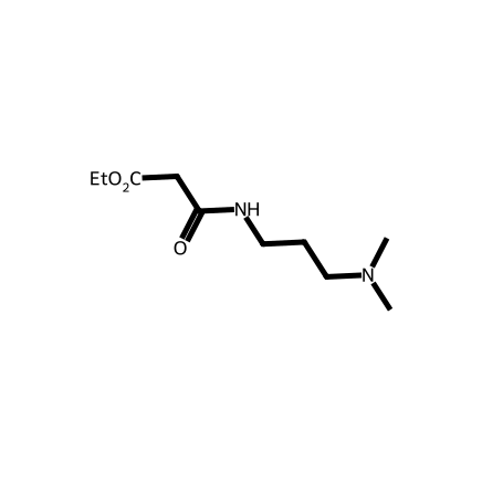 CCOC(=O)CC(=O)NCCCN(C)C